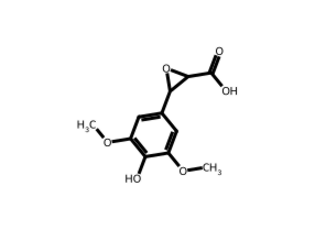 COc1cc(C2OC2C(=O)O)cc(OC)c1O